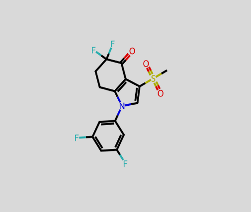 CS(=O)(=O)c1cn(-c2cc(F)cc(F)c2)c2c1C(=O)C(F)(F)CC2